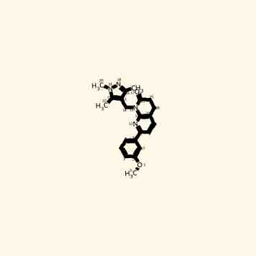 COc1cccc(-c2ccc3c(n2)N(Cc2c(C)nn(C)c2C)C(=O)CC3)c1